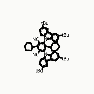 CC(C)(C)c1ccc2c(c1)c1cc(C(C)(C)C)ccc1n2-c1c(C#N)c(C2CCCCC2)c(C#N)c(-n2c3ccc(C(C)(C)C)cc3c3cc(C(C)(C)C)ccc32)c1C1CCCCC1